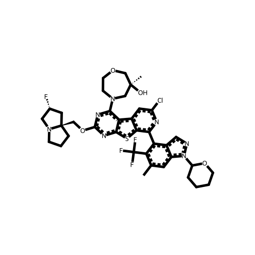 Cc1cc2c(cnn2C2CCCCO2)c(-c2nc(Cl)cc3c2sc2nc(OC[C@@]45CCCN4C[C@H](F)C5)nc(N4CCOC[C@@](C)(O)C4)c23)c1C(F)(F)F